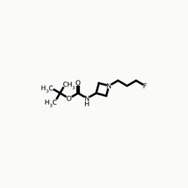 CC(C)(C)OC(=O)NC1CN(CCCF)C1